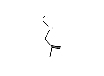 O=C(O)C[SiH2]O[SiH3]